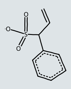 C=CC(c1ccccc1)S([O])(=O)=O